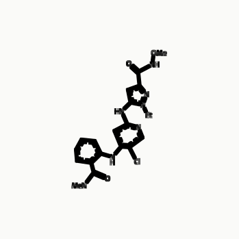 CCn1nc(C(=O)NOC)cc1Nc1cc(Nc2ccccc2C(=O)NC)c(Cl)cn1